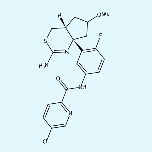 COC1C[C@H]2CSC(N)=N[C@@]2(c2cc(NC(=O)c3ccc(Cl)cn3)ccc2F)C1